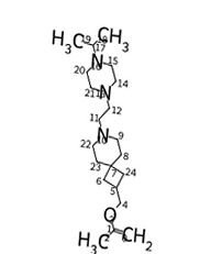 C=C(C)OCC1CC2(CCN(CCN3CCN(C(C)C)CC3)CC2)C1